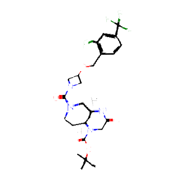 CC(C)(C)OC(=O)N1CC(=O)N[C@@H]2CN(C(=O)N3CC(OCc4ccc(C(F)(F)F)cc4F)C3)CC[C@@H]21